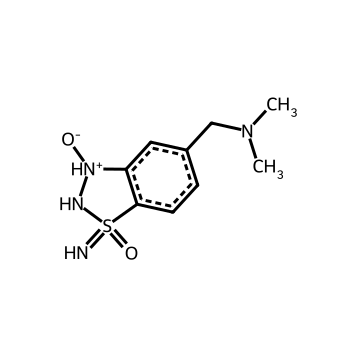 CN(C)Cc1ccc2c(c1)[NH+]([O-])NS2(=N)=O